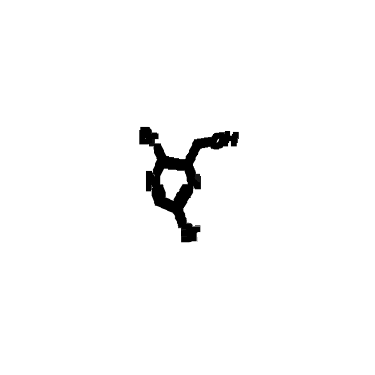 OCc1nc(Br)cnc1Br